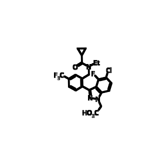 CCN(Cc1cc(C(F)(F)F)ccc1-c1nn(CC(=O)O)c2ccc(Cl)c(F)c12)C(=O)C1CC1